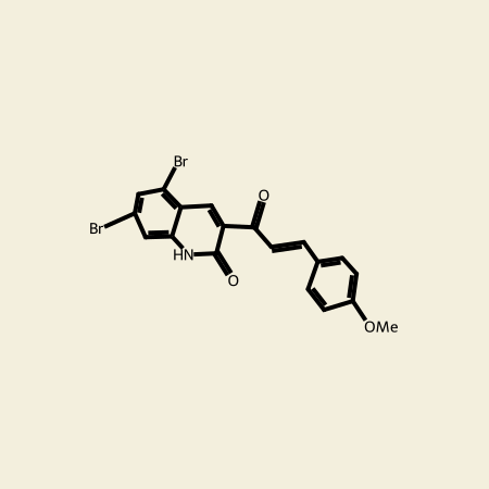 COc1ccc(C=CC(=O)c2cc3c(Br)cc(Br)cc3[nH]c2=O)cc1